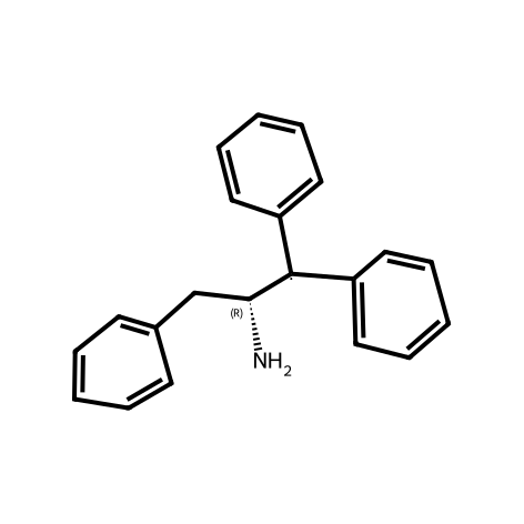 N[C@H](Cc1ccccc1)[C](c1ccccc1)c1ccccc1